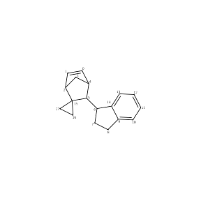 C1=CC2CC1C(C1CCc3ccccc31)C21CC1